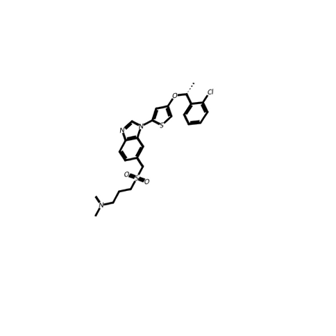 C[C@@H](Oc1csc(-n2cnc3ccc(CS(=O)(=O)CCCN(C)C)cc32)c1)c1ccccc1Cl